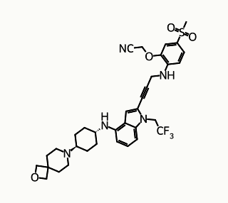 CS(=O)(=O)c1ccc(NCC#Cc2cc3c(N[C@H]4CC[C@H](N5CCC6(CC5)COC6)CC4)cccc3n2CC(F)(F)F)c(OCC#N)c1